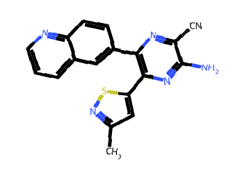 Cc1cc(-c2nc(N)c(C#N)nc2-c2ccc3ncccc3c2)sn1